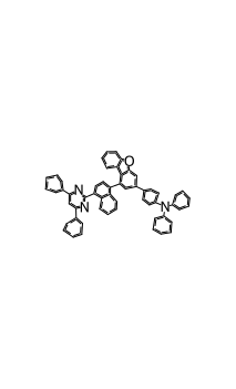 c1ccc(-c2cc(-c3ccccc3)nc(-c3ccc(-c4cc(-c5ccc(N(c6ccccc6)c6ccccc6)cc5)cc5oc6ccccc6c45)c4ccccc34)n2)cc1